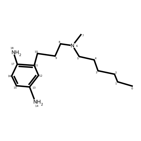 CCCCCCN(C)CCCc1cc(N)ccc1N